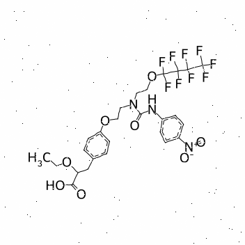 CCOC(Cc1ccc(OCCN(CCOC(F)(F)C(F)(F)C(F)(F)C(F)(F)F)C(=O)Nc2ccc([N+](=O)[O-])cc2)cc1)C(=O)O